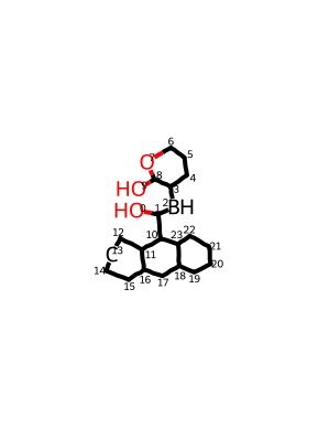 OC(BC1CCCOC1O)C1C2CCCCC2CC2CCCCC21